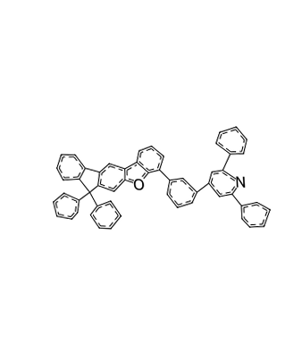 c1ccc(-c2cc(-c3cccc(-c4cccc5c4oc4cc6c(cc45)-c4ccccc4C6(c4ccccc4)c4ccccc4)c3)cc(-c3ccccc3)n2)cc1